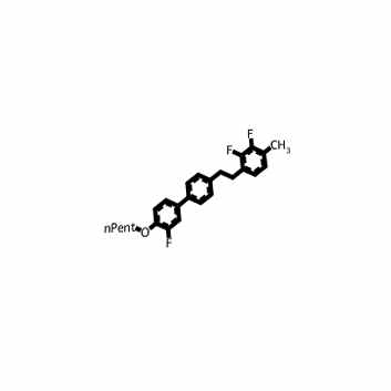 CCCCCOc1ccc(-c2ccc(CCc3ccc(C)c(F)c3F)cc2)cc1F